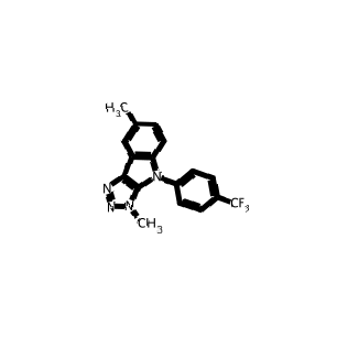 Cc1ccc2c(c1)c1nnn(C)c1n2-c1ccc(C(F)(F)F)cc1